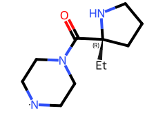 CC[C@]1(C(=O)N2CC[N]CC2)CCCN1